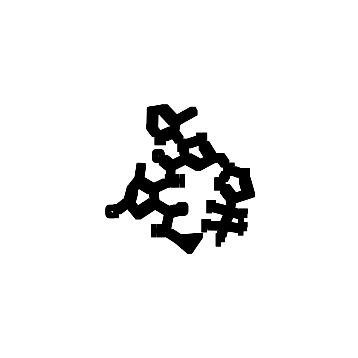 Cc1cccnc1-n1nc(Cn2ncc(C(F)(F)C(F)(F)F)n2)cc1C(=O)Nc1c(C)cc(Cl)cc1C(=O)NC1CC1